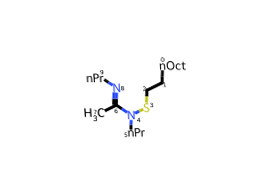 CCCCCCCCCCSN(CCC)C(C)=NCCC